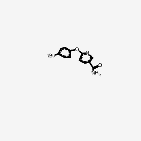 CC(C)(C)c1ccc(Oc2ccc(C(N)=O)cn2)cc1